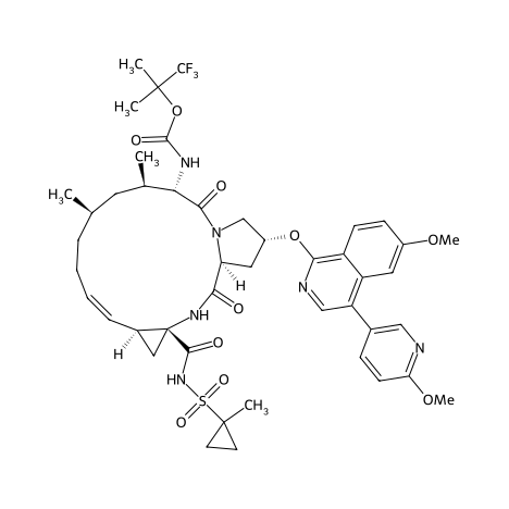 COc1ccc2c(O[C@@H]3C[C@H]4C(=O)N[C@]5(C(=O)NS(=O)(=O)C6(C)CC6)C[C@H]5/C=C\CC[C@@H](C)C[C@@H](C)[C@H](NC(=O)OC(C)(C)C(F)(F)F)C(=O)N4C3)ncc(-c3ccc(OC)nc3)c2c1